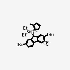 CC[Si](CC)=[Ti+2]([C]1=C(C)C=CC1)[CH]1c2cc(C(C)(C)C)ccc2-c2ccc(C(C)(C)C)cc21.[Cl-].[Cl-]